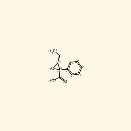 CC[C@@H]1O[C@]1(C(=O)O)c1ccccc1